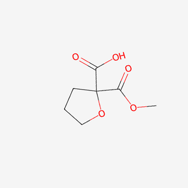 COC(=O)C1(C(=O)O)CCCO1